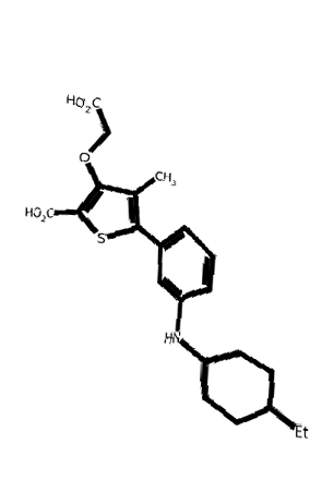 CCC1CCC(Nc2cccc(-c3sc(C(=O)O)c(OCC(=O)O)c3C)c2)CC1